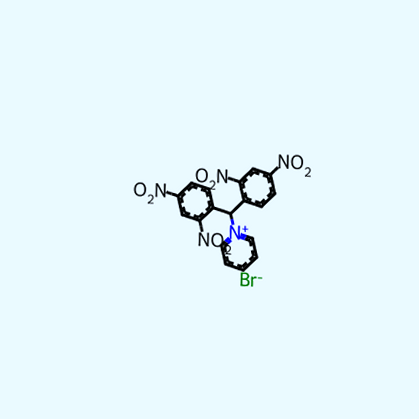 O=[N+]([O-])c1ccc(C(c2ccc([N+](=O)[O-])cc2[N+](=O)[O-])[n+]2ccccc2)c([N+](=O)[O-])c1.[Br-]